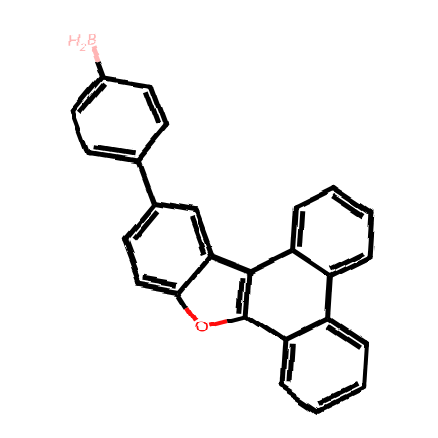 Bc1ccc(-c2ccc3oc4c5ccccc5c5ccccc5c4c3c2)cc1